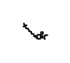 CCC(C)N1CCN(CCCCCCCC(C)(C)C)CC1=O